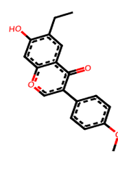 CCc1cc2c(=O)c(-c3ccc(OC)cc3)coc2cc1O